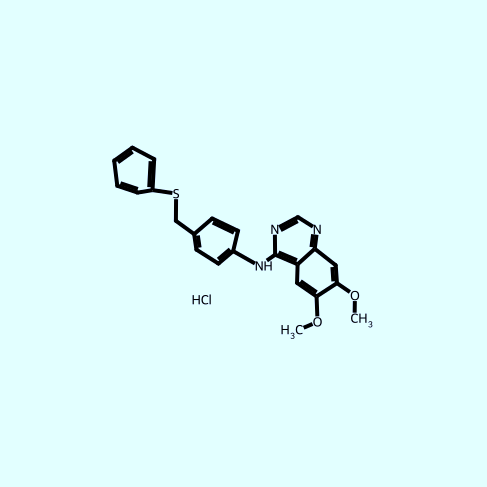 COc1cc2ncnc(Nc3ccc(CSc4ccccc4)cc3)c2cc1OC.Cl